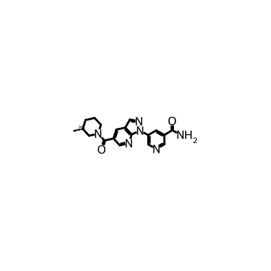 C[C@H]1CCCN(C(=O)c2cnc3c(cnn3-c3cncc(C(N)=O)c3)c2)C1